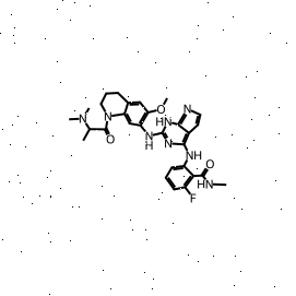 CNC(=O)c1c(F)cccc1Nc1nc(Nc2cc3c(cc2OC)CCCN3C(=O)C(C)N(C)C)[nH]c2nccc1-2